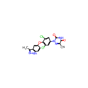 Cc1n[nH]c2ccc(Oc3c(Cl)cc(-n4nc(C#N)c(=O)[nH]c4=O)cc3Cl)cc12